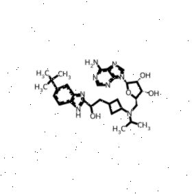 CC(C)N(C[C@H]1O[C@@H](n2cnc3c(N)ncnc32)[C@H](O)[C@@H]1O)C1CC(CC(O)c2nc3cc(C(C)(C)C)ccc3[nH]2)C1